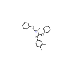 C/C(=C\Oc1ccccc1)C(=Nc1ccc(C)c(C)c1)Oc1ccccc1